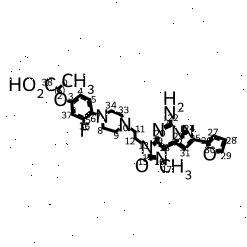 C[C@H](Oc1ccc(N2CCN(CCn3c(=O)n(C)c4c3nc(N)n3nc(-c5ccco5)cc43)CC2)c(F)c1)C(=O)O